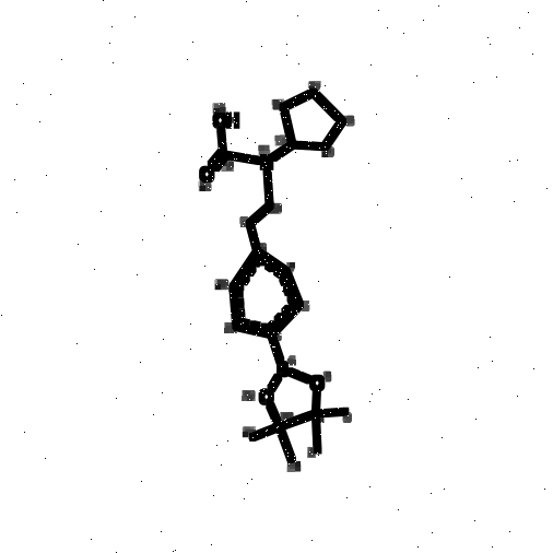 CC1(C)OB(c2ccc(CCN(C(=O)O)C3CCCC3)cc2)OC1(C)C